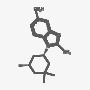 C[C@@H]1C[C@H](n2c(N)nc3cc(C(=O)O)ccc32)CC(C)(C)C1